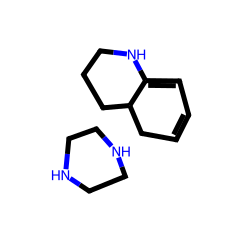 C1=CCC2CCCNC2=C1.C1CNCCN1